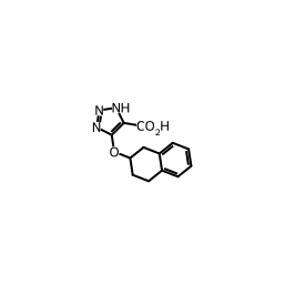 O=C(O)c1[nH]nnc1OC1CCc2ccccc2C1